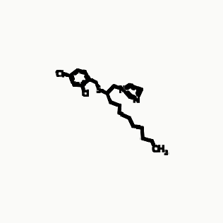 CCCCCCCCCC(Cn1ccnc1)SCc1ccc(Cl)cc1Cl